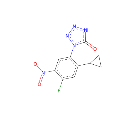 O=c1[nH]nnn1-c1cc([N+](=O)[O-])c(F)cc1C1CC1